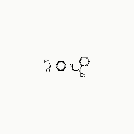 CCC(=O)c1ccc(N=CN(CC)c2ccccc2)cc1